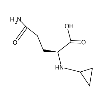 NC(=O)CC[C@H](NC1CC1)C(=O)O